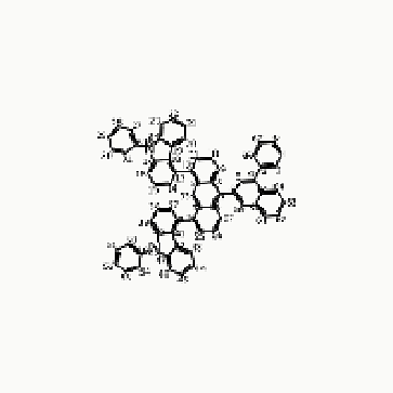 c1ccc(-c2cc(-c3c4cccc(-c5cccc6c5c5ccccc5n6-c5ccccc5)c4cc4c(-c5cccc6c5c5ccccc5n6-c5ccccc5)cccc34)cc3ccccc23)cc1